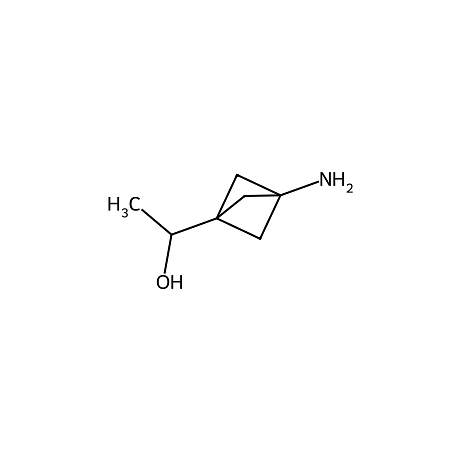 CC(O)C12CC(N)(C1)C2